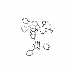 C=Cc1c(/C=C\C)n(-c2cccc(-c3nc(-c4ccccc4)nc(-c4ccccc4)n3)c2)c2c3c(ccc12)-c1ccccc1C3(c1ccccc1)c1ccccc1